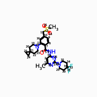 Cc1cc(NC(=O)c2ccc(CS(C)(=O)=O)cc2N2CCC3(CC2)CC3)nc(N2CCC(F)(F)CC2)n1